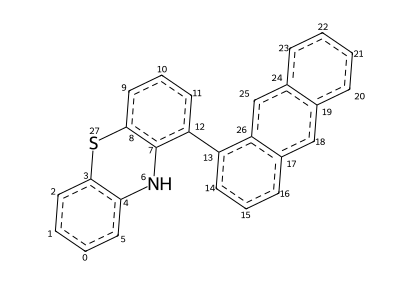 c1ccc2c(c1)Nc1c(cccc1-c1cccc3cc4ccccc4cc13)S2